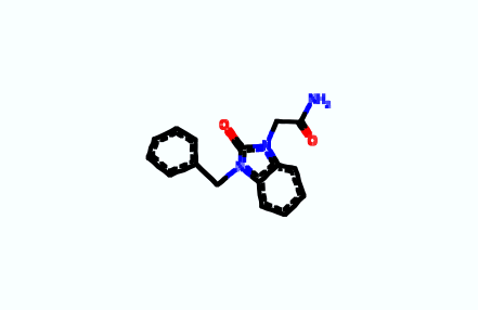 NC(=O)Cn1c(=O)n(Cc2ccccc2)c2ccccc21